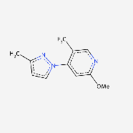 COc1cc(-n2ccc(C)n2)c(C(F)(F)F)cn1